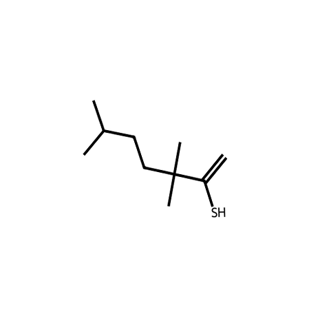 C=C(S)C(C)(C)CCC(C)C